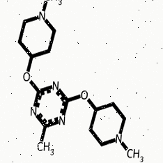 Cc1nc(OC2CCN(C)CC2)nc(OC2CCN(C)CC2)n1